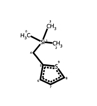 C[Si](C)(C)Cc1cccs1